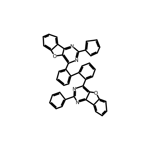 c1ccc(-c2nc(-c3ccccc3-c3ccccc3-c3nc(-c4ccccc4)nc4c3oc3ccccc34)c3oc4ccccc4c3n2)cc1